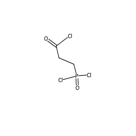 O=C(Cl)CCP(=O)(Cl)Cl